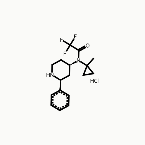 CC1(N(C(=O)C(F)(F)F)[C@@H]2CCN[C@H](c3ccccc3)C2)CC1.Cl